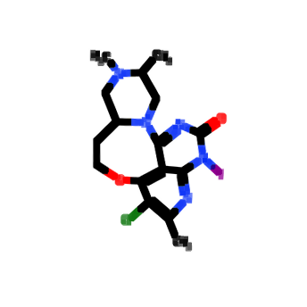 Cc1nc2c3c(nc(=O)n2I)N2CC(C)N(C)CC2CCOc3c1Cl